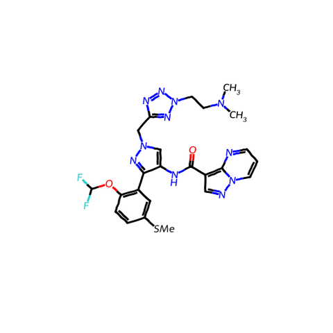 CSc1ccc(OC(F)F)c(-c2nn(Cc3nnn(CCN(C)C)n3)cc2NC(=O)c2cnn3cccnc23)c1